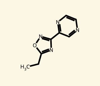 CCc1nc(-c2cnccn2)no1